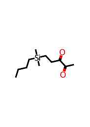 CCCC[Si](C)(C)CCC(=O)C(C)=O